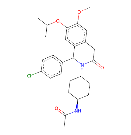 COc1cc2c(cc1OC(C)C)C(c1ccc(Cl)cc1)N([C@H]1CC[C@H](NC(C)=O)CC1)C(=O)C2